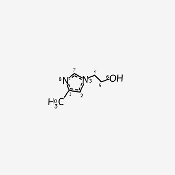 Cc1cn(CCO)cn1